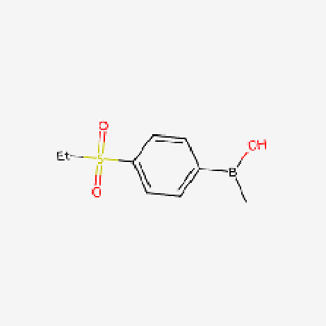 CCS(=O)(=O)c1ccc(B(C)O)cc1